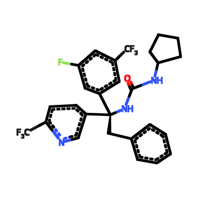 O=C(NC1CCCC1)N[C@](Cc1ccccc1)(c1ccc(C(F)(F)F)nc1)c1cc(F)cc(C(F)(F)F)c1